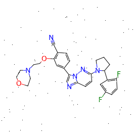 N#Cc1ccc(-c2cnc3ccc(N4CCCC4c4cc(F)ccc4F)nn23)cc1OCCN1CCOCC1